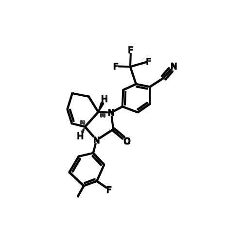 Cc1ccc(N2C(=O)N(c3ccc(C#N)c(C(F)(F)F)c3)[C@H]3CCC=C[C@@H]32)cc1F